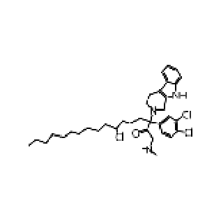 CCCCCCCCCCC(Cl)CCCC(C(=O)CN(C)C)(c1ccc(Cl)c(Cl)c1)N1CCc2c([nH]c3ccccc23)C1